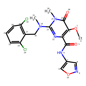 CCOc1c(C(=O)Nc2cnoc2)nc(N(C)Cc2c(Cl)cccc2Cl)n(C)c1=O